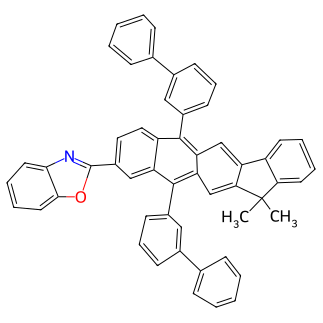 CC1(C)c2ccccc2-c2cc3c(-c4cccc(-c5ccccc5)c4)c4ccc(-c5nc6ccccc6o5)cc4c(-c4cccc(-c5ccccc5)c4)c3cc21